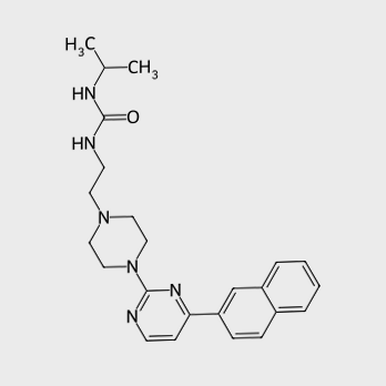 CC(C)NC(=O)NCCN1CCN(c2nccc(-c3ccc4ccccc4c3)n2)CC1